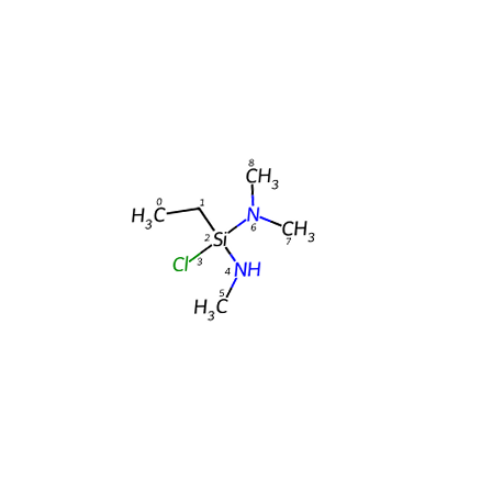 CC[Si](Cl)(NC)N(C)C